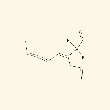 C=CC/C(=C\C=C=CC)C(F)(F)C=C